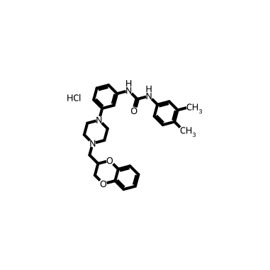 Cc1ccc(NC(=O)Nc2cccc(N3CCN(CC4COc5ccccc5O4)CC3)c2)cc1C.Cl